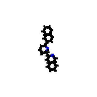 c1cc(-c2ccc3ccccc3c2)nc(-c2cc3ccccc3cn2)c1